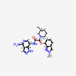 CCn1cc2ccc([C@H]3CC[C@H](C)CN3C(=O)C(=O)Nc3cnc(N)c4cn[nH]c34)cc2n1